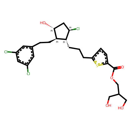 O=C(OCC(CO)CO)c1ccc(CCC[C@@H]2[C@@H](CCc3cc(Cl)cc(Cl)c3)[C@H](O)C[C@H]2Cl)s1